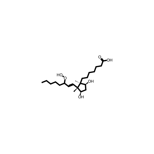 CCCCCC(/C=C/[C@@]1(C)[C@H](O)C[C@H](O)[C@]1(C)CCCCCCC(=O)O)OO